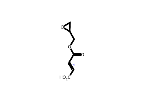 O=C(O)/C=C/C(=O)OCC1CO1